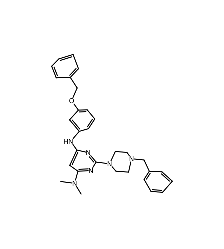 CN(C)c1cc(Nc2cccc(OCc3ccccc3)c2)nc(N2CCN(Cc3ccccc3)CC2)n1